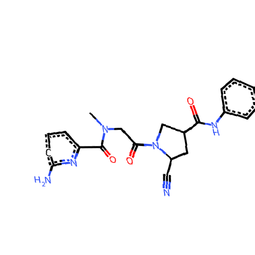 CN(CC(=O)N1CC(C(=O)Nc2ccccc2)CC1C#N)C(=O)c1cccc(N)n1